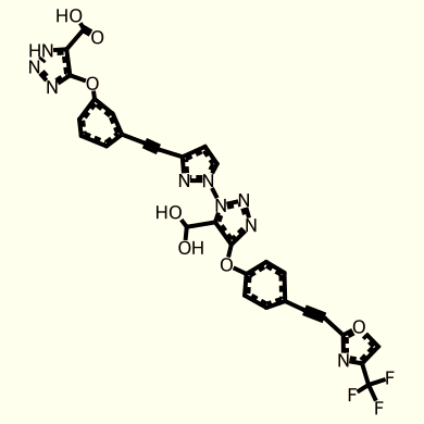 O=C(O)c1[nH]nnc1Oc1cccc(C#Cc2ccn(-n3nnc(Oc4ccc(C#Cc5nc(C(F)(F)F)co5)cc4)c3C(O)O)n2)c1